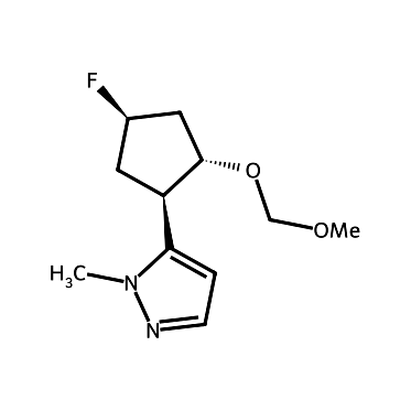 COCO[C@H]1C[C@H](F)C[C@@H]1c1ccnn1C